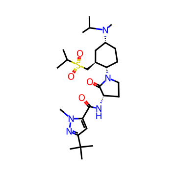 CC(C)N(C)[C@@H]1CC[C@H](N2CC[C@H](NC(=O)c3cc(C(C)(C)C)nn3C)C2=O)[C@@H](CS(=O)(=O)C(C)C)C1